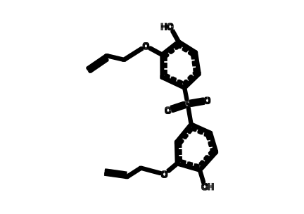 C=CCOc1cc(S(=O)(=O)c2ccc(O)c(OCC=C)c2)ccc1O